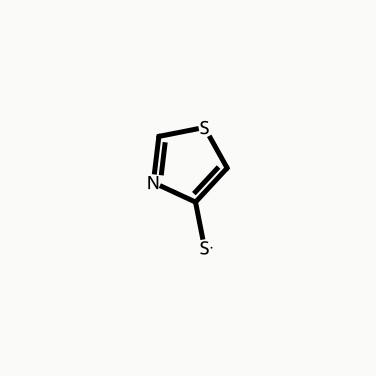 [S]c1cscn1